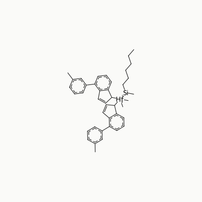 CCCCCC[Si](C)=[Hf]([CH3])([CH3])([CH]1C=Cc2c(-c3cccc(C)c3)cccc21)[CH]1C=Cc2c(-c3cccc(C)c3)cccc21